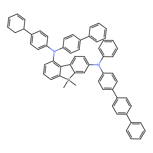 C[Si]1(C)c2cc(N(c3ccccc3)c3ccc(-c4ccc(-c5ccccc5)cc4)cc3)ccc2-c2c(N(c3ccc(-c4ccccc4)cc3)c3ccc(C4C=CC=CC4)cc3)cccc21